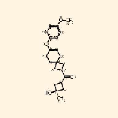 C[C@]1(O)C[C@@H](C(=O)N2CC3(CCC(Oc4ccc(OC(F)(F)F)cn4)CC3)C2)C1